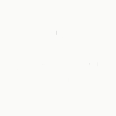 C=CCC(CC=C)(C(=O)O)C(=O)OC(C)CC